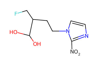 O=[N+]([O-])c1nccn1CCC(CF)C(O)O